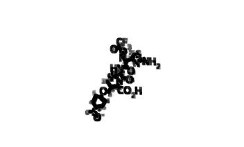 C[S+]([O-])c1ccc(OCC2=C(C(=O)O)N3C(=O)C(NC(=O)C(=NOC(=O)C(F)(F)F)c4csc(N)n4)[C@@H]3SC2)cc1